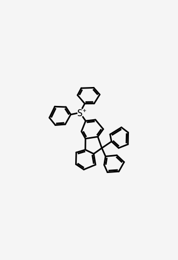 c1ccc([S+](c2ccccc2)c2ccc3c(c2)-c2ccccc2C3(c2ccccc2)c2ccccc2)cc1